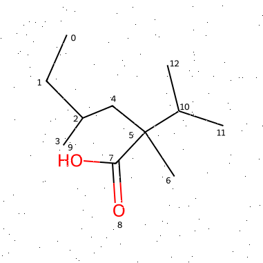 CCC(C)CC(C)(C(=O)O)C(C)C